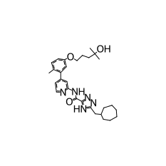 Cc1ccc(OCCCC(C)(C)O)cc1-c1ccnc(NC(=O)c2nnc(CC3CCCCCC3)[nH]2)c1